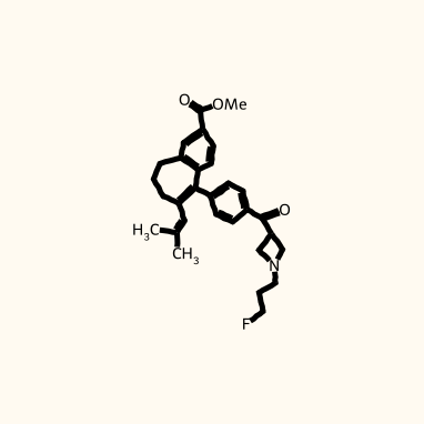 COC(=O)c1ccc2c(c1)CCCC(C=C(C)C)=C2c1ccc(C(=O)C2CN(CCCF)C2)cc1